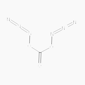 [N-]=[N+]=NOC(=O)ON=[N+]=[N-]